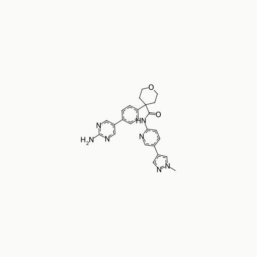 Cn1cc(-c2ccc(NC(=O)C3(c4ccc(-c5cnc(N)nc5)cc4)CCOCC3)nc2)cn1